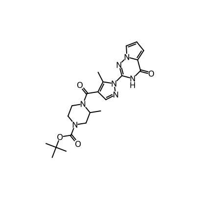 Cc1c(C(=O)N2CCN(C(=O)OC(C)(C)C)CC2C)cnn1-c1nn2cccc2c(=O)[nH]1